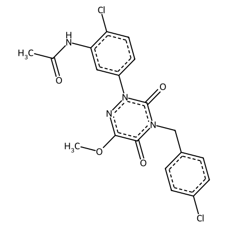 COc1nn(-c2ccc(Cl)c(NC(C)=O)c2)c(=O)n(Cc2ccc(Cl)cc2)c1=O